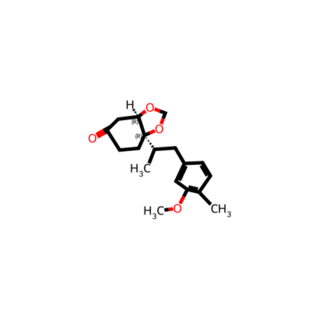 COc1cc(CC(C)[C@]23CCC(=O)C[C@H]2OCO3)ccc1C